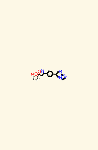 OC1(C(F)(F)F)CC(c2ccc(-c3cnc4nccn4c3)cc2)=NO1